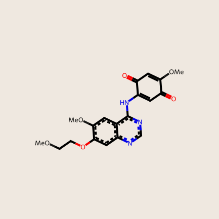 COCCOc1cc2ncnc(NC3=CC(=O)C(OC)=CC3=O)c2cc1OC